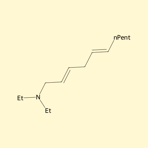 CCCCCC=CCC=CCN(CC)CC